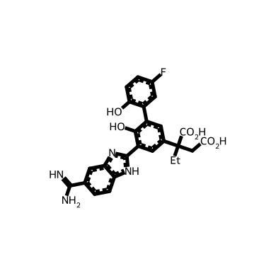 CCC(CC(=O)O)(C(=O)O)c1cc(-c2nc3cc(C(=N)N)ccc3[nH]2)c(O)c(-c2cc(F)ccc2O)c1